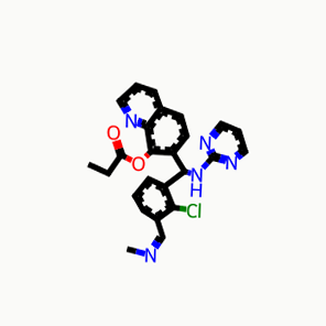 CCC(=O)Oc1c(C(Nc2ncccn2)c2cccc(/C=N\C)c2Cl)ccc2cccnc12